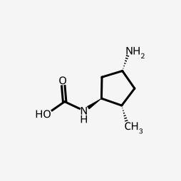 C[C@H]1C[C@@H](N)C[C@@H]1NC(=O)O